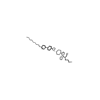 CCCCCCCCCc1ccc(-c2ccc(OC[C@H]3CC[C@H](OC(=O)[C@@H](F)CCCC)CC3)cc2)cc1